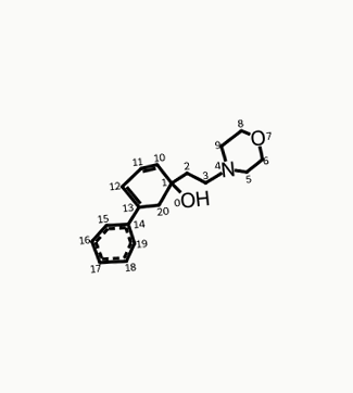 OC1(CCN2CCOCC2)C=CC=C(c2ccccc2)C1